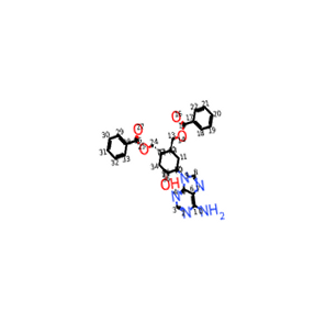 Nc1ncnc2c1ncn2[C@@H]1C[C@H](COC(=O)c2ccccc2)[C@@H](COC(=O)c2ccccc2)C[C@H]1O